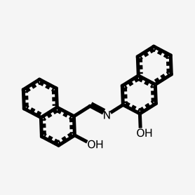 Oc1cc2ccccc2cc1N=Cc1c(O)ccc2ccccc12